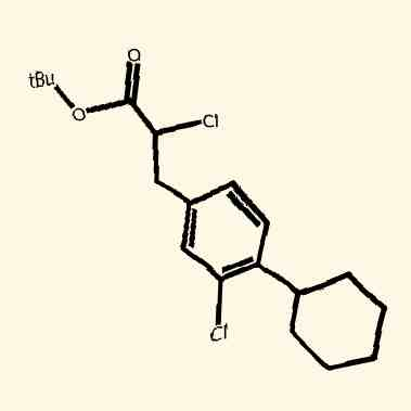 CC(C)(C)OC(=O)C(Cl)Cc1ccc(C2CCCCC2)c(Cl)c1